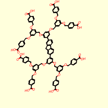 O=C(O)c1ccc(COc2cc(COc3cc(OCc4cc(OCc5ccc(C(=O)O)cc5)cc(OCc5ccc(C(=O)O)cc5)c4)cc(-c4ccc5c(c4)Cc4cc(-c6cc(OCc7cc(OCc8ccc(C(=O)O)cc8)cc(OCc8ccc(C(=O)O)cc8)c7)cc(OCc7cc(OCc8ccc(C(=O)O)cc8)cc(OCc8ccc(C(=O)O)cc8)c7)c6)ccc4-5)c3)cc(OCc3ccc(C(=O)O)cc3)c2)cc1